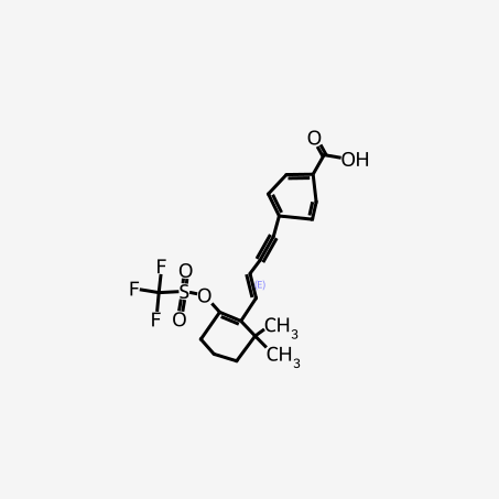 CC1(C)CCCC(OS(=O)(=O)C(F)(F)F)=C1/C=C/C#Cc1ccc(C(=O)O)cc1